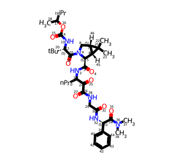 CCCC(NC(=O)[C@@H]1[C@@H]2[C@H](CN1C(=O)[C@@H](NC(=O)OC(C)C(C)C)C(C)(C)C)C2(C)C)C(=O)C(=O)NCC(=O)N[C@H](C(=O)N(C)C)c1ccccc1